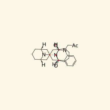 CC(=O)Cn1c(=O)n([C@H]2C[C@H]3CCC[C@@H](C2)N3C2C[C@H]3CCCC[C@@H](C2)C3)c(=O)c2ccccc21